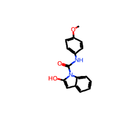 COc1ccc(NC(=O)n2c(O)cc3ccccc32)cc1